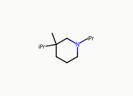 CC(C)N1CCCC(C)(C(C)C)C1